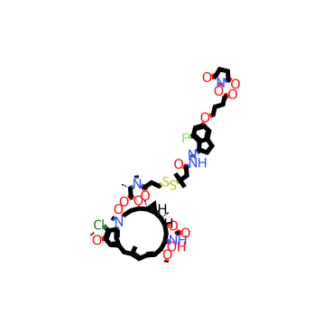 COc1cc2cc(c1Cl)N(C)C(=O)C[C@H](OC(=O)[C@H](C)N(C)C(=O)CCSSC(C)(C)CC(=O)N/N=C1\CCc3cc(OCCCC(=O)ON4C(=O)CCC4=O)cc(F)c31)[C@@]1(C)C[C@H]1[C@H](C)[C@@H]1C[C@@](O)(NC(=O)O1)[C@H](OC)/C=C/C=C(\C)C2